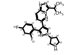 CC(C)c1nnc2ccc(-c3cn(C4CCNC4)nc3C3=C(F)CC(F)C=C3)nn12